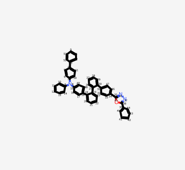 c1ccc(-c2ccc(N(c3ccccc3)c3ccc(-c4ccccc4-c4ccccc4-c4ccc(-c5nnc(-c6ccccc6)o5)cc4)cc3)cc2)cc1